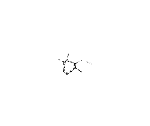 [CH2]c1ccc(C)c(C)c1OCC